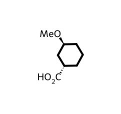 CO[C@H]1CCC[C@H](C(=O)O)C1